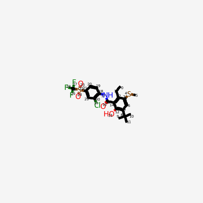 CCc1c(SC)cc(C(C)(C)C)c(O)c1C(=O)Nc1ccc(S(=O)(=O)C(F)(F)F)cc1Cl